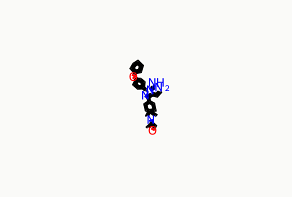 Nc1nccc2c(C3CCC4(CC3)CN(C3COC3)C4)nc(-c3ccc(Oc4ccccc4)cc3)n12